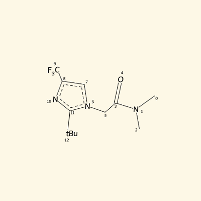 CN(C)C(=O)Cn1cc(C(F)(F)F)nc1C(C)(C)C